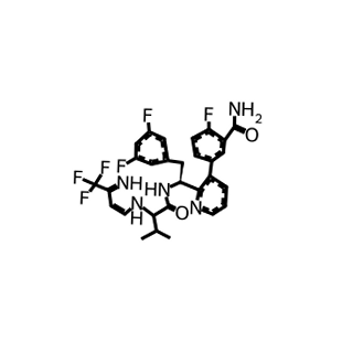 CC(C)C(N/C=C\C(=N)C(F)(F)F)C(=O)N[C@@H](Cc1cc(F)cc(F)c1)c1ncccc1-c1ccc(F)c(C(N)=O)c1